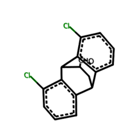 O=CC1CC2c3cccc(Cl)c3C1c1c(Cl)cccc12